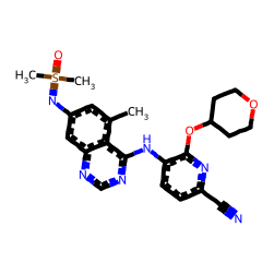 Cc1cc(N=S(C)(C)=O)cc2ncnc(Nc3ccc(C#N)nc3OC3CCOCC3)c12